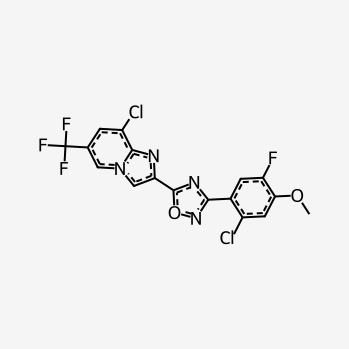 COc1cc(Cl)c(-c2noc(-c3cn4cc(C(F)(F)F)cc(Cl)c4n3)n2)cc1F